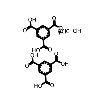 Cl.Cl.Cl.O=C(O)c1cc(C(=O)O)cc(C(=O)O)c1.O=C(O)c1cc(C(=O)O)cc(C(=O)O)c1